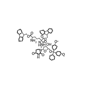 COc1ccc(C(OC[C@H]2O[C@@H](n3ccc(=O)[nH]c3=O)[C@H](NC(=O)[C@@](N)(CCCC(N)C(=O)OCC3c4ccccc4-c4ccccc43)C(=O)OCC3c4ccccc4-c4ccccc43)[C@@H]2O)(c2ccccc2)c2ccc(OC)cc2)cc1